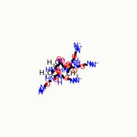 CC(=C=C(C(=O)NCCOCCN=[N+]=[N-])C(=O)NCCOCCN=[N+]=[N-])NC(=O)CCC(C)(CCC(=O)NC(C)=C=C(C(=O)NCCOCCN=[N+]=[N-])C(=O)NCCOCCN=[N+]=[N-])[N+](=O)[O-]